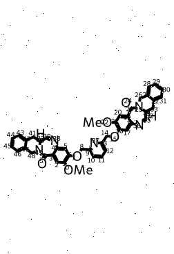 COc1cc2c(cc1OCc1cccc(COc3cc4c(cc3OC)C(=O)N3Cc5ccccc5C[C@@H]3C=N4)n1)N=C[C@@H]1Cc3ccccc3CN1C2=O